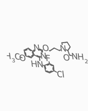 COc1ccc2nc(OCCCN3CCCC3C(N)=O)nc(Nc3ccc(Cl)cc3F)c2c1